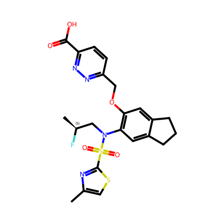 Cc1csc(S(=O)(=O)N(C[C@H](C)F)c2cc3c(cc2OCc2ccc(C(=O)O)nn2)CCC3)n1